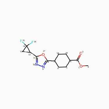 COC(=O)C1CCC(c2nnc(C3CC3(F)F)o2)CC1